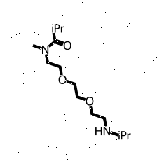 CC(C)NCCOCCOCCN(C)C(=O)C(C)C